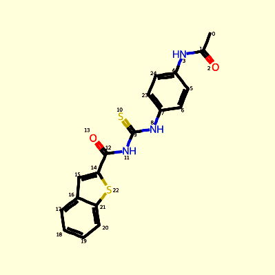 CC(=O)Nc1ccc(NC(=S)NC(=O)c2cc3ccccc3s2)cc1